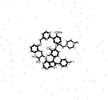 COc1ccccc1-c1nccc(COc2ccccc2CC(Oc2ncnc3sc(-c4ccc(F)cc4)c(-c4ccc(OCCN5CCN(C)CC5)c(Cl)c4C)c23)C(O)O)n1